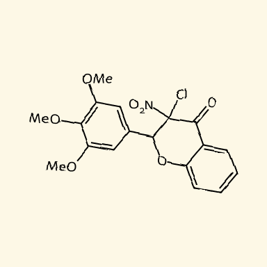 COc1cc(C2Oc3ccccc3C(=O)C2(Cl)[N+](=O)[O-])cc(OC)c1OC